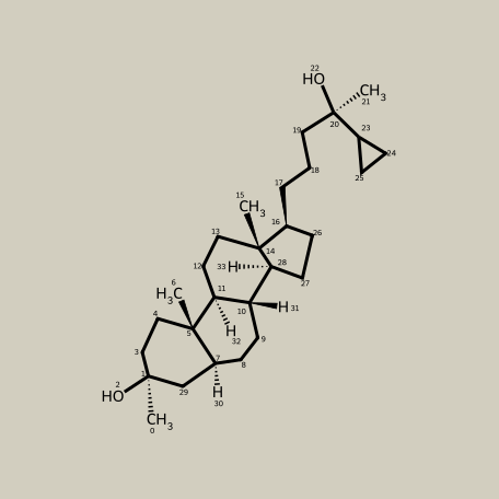 C[C@]1(O)CC[C@@]2(C)[C@@H](CC[C@@H]3[C@@H]2CC[C@]2(C)[C@@H](CCC[C@@](C)(O)C4CC4)CC[C@@H]32)C1